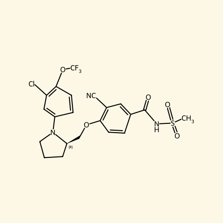 CS(=O)(=O)NC(=O)c1ccc(OC[C@H]2CCCN2c2ccc(OC(F)(F)F)c(Cl)c2)c(C#N)c1